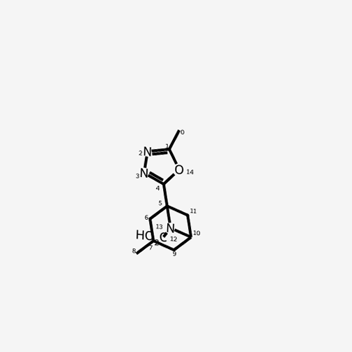 Cc1nnc(C23CC(C)CC(C2)N3C(=O)O)o1